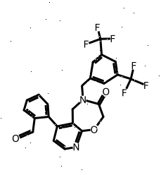 O=Cc1ccccc1-c1ccnc2c1CN(Cc1cc(C(F)(F)F)cc(C(F)(F)F)c1)C(=O)CO2